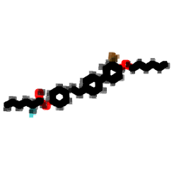 CCCCCCOc1ccc(-c2ccc(CC[C@H]3CC[C@H](OC(=O)[C@@H](F)CCCC)CC3)cc2)cc1Br